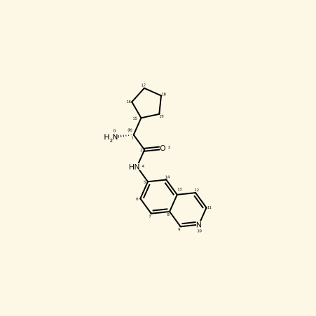 N[C@@H](C(=O)Nc1ccc2cnccc2c1)C1CCCC1